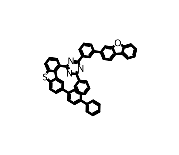 c1ccc(-c2ccc(-c3ccc4sc5cccc(-c6nc(-c7ccccc7)nc(-c7cccc(-c8ccc9c(c8)oc8ccccc89)c7)n6)c5c4c3)cc2)cc1